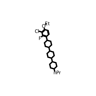 CCCC1CCC(C2CCC(C3CCC(c4ccc(OCC)c(Cl)c4F)CC3)CC2)CC1